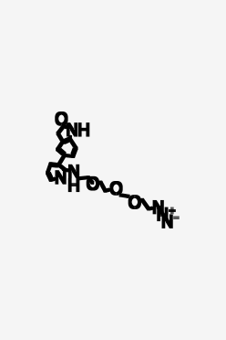 [N-]=[N+]=NCCOCCOCCOCCNc1ncccc1-c1ccc2c(c1)CC(=O)N2